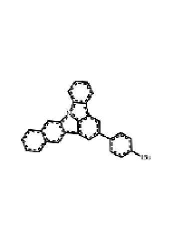 CC(C)(C)c1ccc(-c2cc3c4ccccc4n4c5cc6ccccc6cc5c(c2)c34)cc1